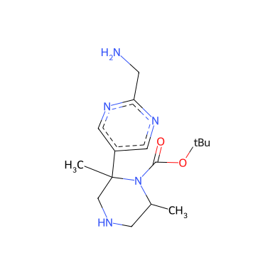 CC1CNCC(C)(c2cnc(CN)nc2)N1C(=O)OC(C)(C)C